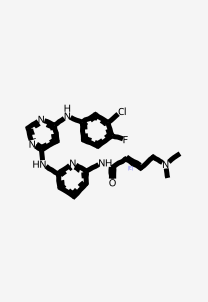 CN(C)C/C=C/C(=O)Nc1cccc(Nc2cc(Nc3ccc(F)c(Cl)c3)ncn2)n1